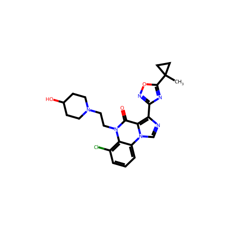 CC1(c2nc(-c3ncn4c3c(=O)n(CCN3CCC(O)CC3)c3c(Cl)cccc34)no2)CC1